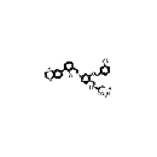 N#Cc1cccc(COc2cc(OCc3cccc(-c4ccc5c(c4)OCCO5)c3Br)ccc2CNC(CO)C(=O)O)c1